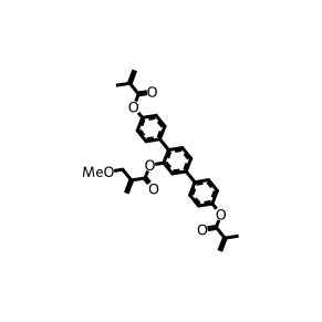 C=C(C)C(=O)Oc1ccc(-c2ccc(-c3ccc(OC(=O)C(=C)C)cc3)c(OC(=O)C(=C)COC)c2)cc1